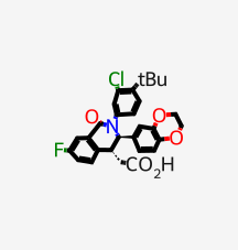 CC(C)(C)c1ccc(N2C(=O)c3cc(F)ccc3[C@@H](CC(=O)O)[C@@H]2c2ccc3c(c2)OCCO3)cc1Cl